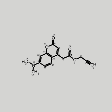 C#CCOC(=O)Cc1cc(=O)oc2cc(N(C)C)ccc12